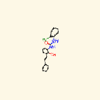 O=C(Nc1ccccc1Br)Nc1cccc(C=Cc2ccccc2)c1O